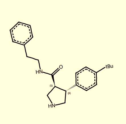 CC(C)(C)c1ccc([C@@H]2CNC[C@H]2C(=O)NCCc2ccccc2)cc1